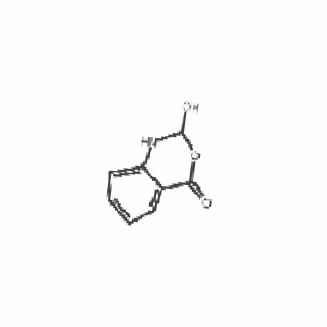 O=C1OC(O)Nc2ccccc21